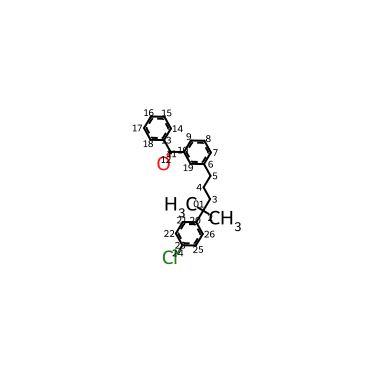 CC(C)(CCCc1cccc(C(=O)c2ccccc2)c1)c1ccc(Cl)cc1